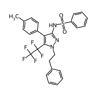 Cc1ccc(-c2c(NS(=O)(=O)c3ccccc3)nn(CCc3ccccc3)c2C(F)(F)C(F)(F)F)cc1